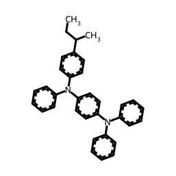 CCC(C)c1ccc(N(c2ccccc2)c2ccc(N(c3ccccc3)c3ccccc3)cc2)cc1